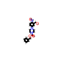 O=Cc1cc(N2CCN(C(=O)OCc3ccccc3)CC2)ccc1N=O